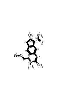 CCOCCN(C)C(C)=Nc1ccc2c(c1)[C@@H](C(N)=O)[C@H](O)C2